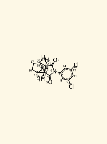 O=C1[C@@H]2[C@H](C(=O)N1c1cc(Cl)cc(Cl)c1)[C@@H]1CC[C@H]2N1